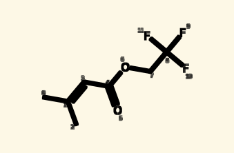 CC(C)=CC(=O)OCC(F)(F)F